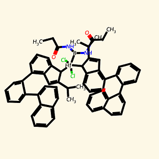 CCC(=O)N[B](NC(=O)CC)[Hf]([Cl])([Cl])([CH]1C(C(C)C)=Cc2c(-c3ccccc3-c3cccc4ccccc34)cccc21)[CH]1C(C(C)C)=Cc2c(-c3ccccc3-c3cccc4ccccc34)cccc21